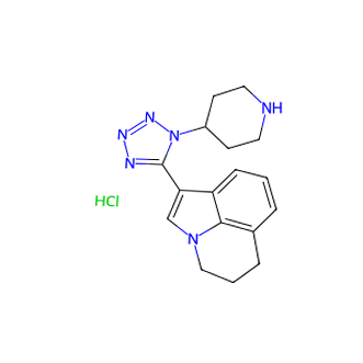 Cl.c1cc2c3c(c1)c(-c1nnnn1C1CCNCC1)cn3CCC2